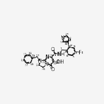 O=C(NCc1ccc(F)cc1-n1cncn1)c1nc2n(c(=O)c1O)CCN2Cc1ccccc1